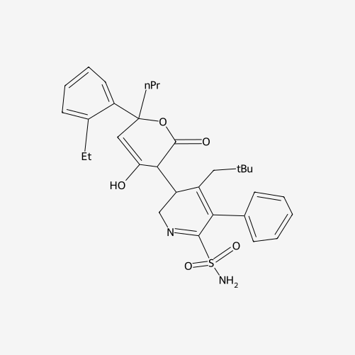 CCCC1(c2ccccc2CC)C=C(O)C(C2CN=C(S(N)(=O)=O)C(c3ccccc3)=C2CC(C)(C)C)C(=O)O1